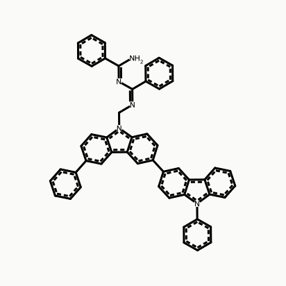 N/C(=N\C(=N/Cn1c2ccc(-c3ccccc3)cc2c2cc(-c3ccc4c(c3)c3ccccc3n4-c3ccccc3)ccc21)c1ccccc1)c1ccccc1